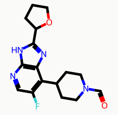 O=CN1CCC(c2c(F)cnc3[nH]c(C4CCCO4)nc23)CC1